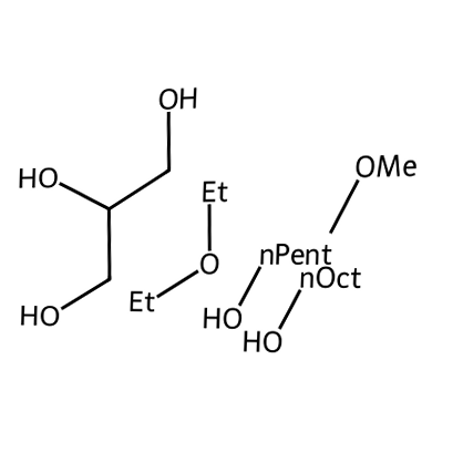 CCCCCCCCO.CCCCCO.CCOCC.COC.OCC(O)CO